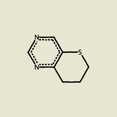 c1ncc2c(n1)CCCS2